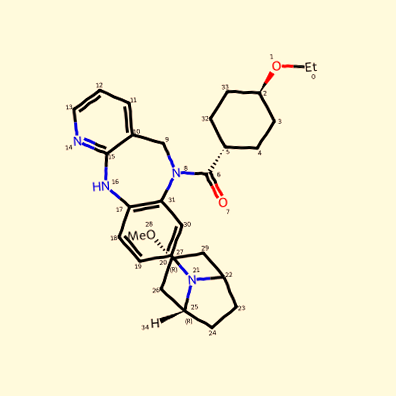 CCO[C@H]1CC[C@H](C(=O)N2Cc3cccnc3Nc3ccc(N4C5CC[C@@H]4C[C@H](OC)C5)cc32)CC1